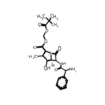 CC1C(O)[C@@H]2C(NC(=O)C(N)c3ccccc3)C(=O)N2C1C(=O)OCOC(=O)C(C)(C)C